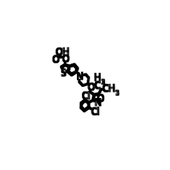 CC(C)c1onc(-c2c(Cl)cccc2Cl)c1COC1CCN(c2ccc3c(OC(=O)O)csc3c2)CC1